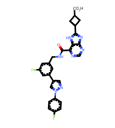 O=C(NCc1cc(F)cc(-c2cnn(-c3ccc(F)cc3)c2)c1)c1ncnc2nc(C3CC(C(=O)O)C3)[nH]c12